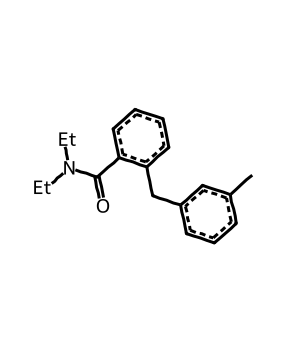 CCN(CC)C(=O)c1ccccc1Cc1cccc(C)c1